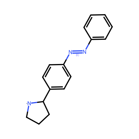 c1ccc(/N=N/c2ccc(C3CCC[N]3)cc2)cc1